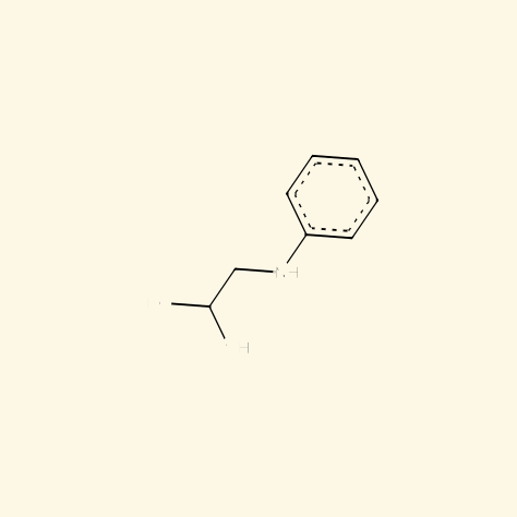 CC([SiH3])CNc1ccccc1